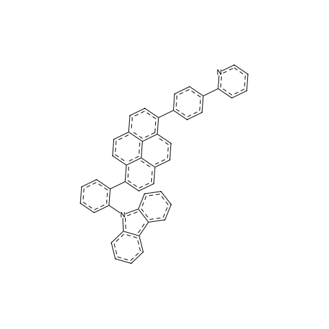 c1ccc(-c2ccc(-c3ccc4ccc5c(-c6ccccc6-n6c7ccccc7c7ccccc76)ccc6ccc3c4c65)cc2)nc1